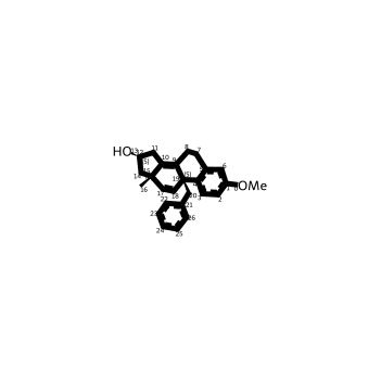 COc1ccc2c(c1)CCC1=C3C[C@@H](O)C[C@@]3(C)C=C[C@]12Cc1ccccc1